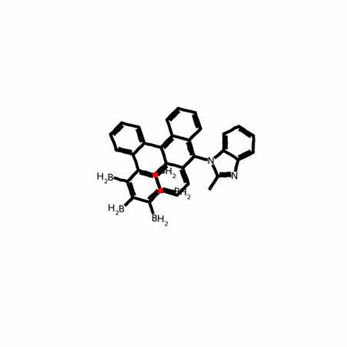 Bc1c(B)c(B)c(-c2ccccc2-c2c3ccccc3c(-n3c(C)nc4ccccc43)c3ccccc23)c(B)c1B